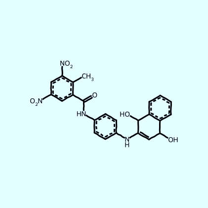 Cc1c(C(=O)Nc2ccc(NC3=CC(O)c4ccccc4C3O)cc2)cc([N+](=O)[O-])cc1[N+](=O)[O-]